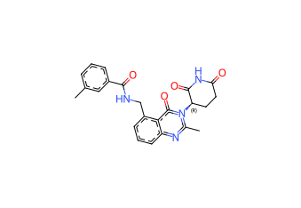 Cc1cccc(C(=O)NCc2cccc3nc(C)n([C@@H]4CCC(=O)NC4=O)c(=O)c23)c1